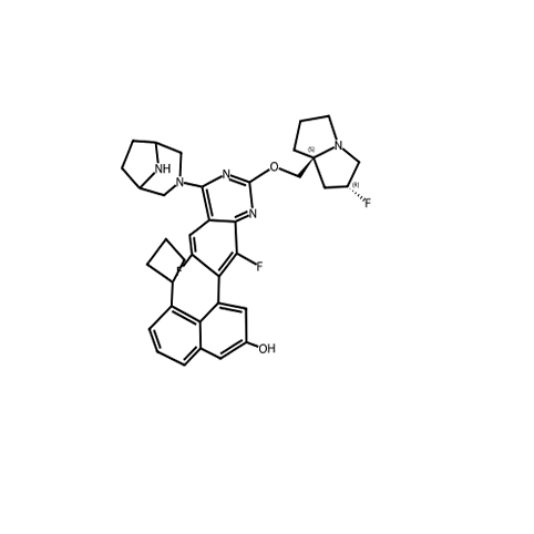 Oc1cc(-c2c(F)cc3c(N4CC5CCC(C4)N5)nc(OC[C@@]45CCCN4C[C@H](F)C5)nc3c2F)c2c(C3CCC3)cccc2c1